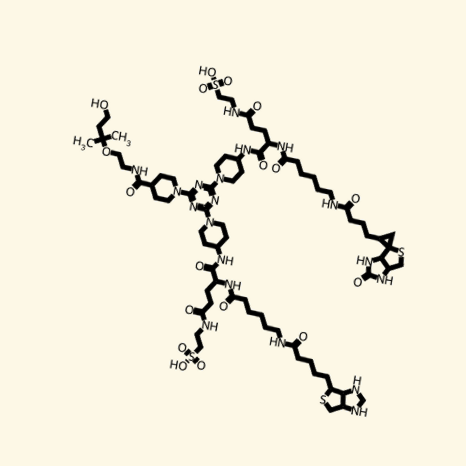 CC(C)(CCO)OCCNC(=O)C1CCN(c2nc(N3CCC(NC(=O)C(CCC(=O)NCCS(=O)(=O)O)NC(=O)CCCCCNC(=O)CCCCC4SCC5NCNC54)CC3)nc(N3CCC(NC(=O)C(CCC(=O)NCCS(=O)(=O)O)NC(=O)CCCCCNC(=O)CCCC4CC45SCC4NC(=O)NC45)CC3)n2)CC1